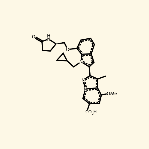 COc1cc(C(=O)O)cn2nc(-c3cc4cccc(OC[C@H]5CCC(=O)N5)c4n3CC3CC3)c(C)c12